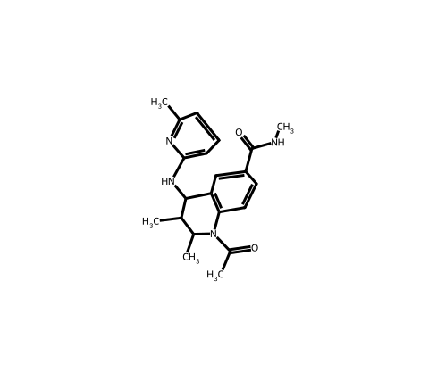 CNC(=O)c1ccc2c(c1)C(Nc1cccc(C)n1)C(C)C(C)N2C(C)=O